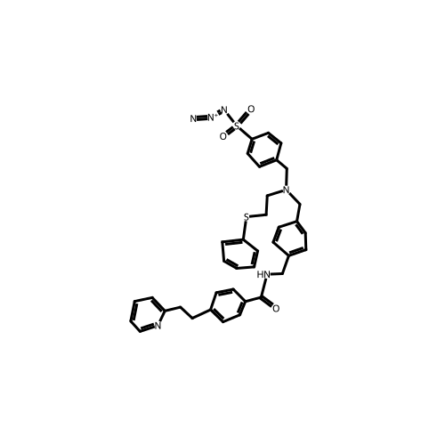 [N-]=[N+]=NS(=O)(=O)c1ccc(CN(CCSc2ccccc2)Cc2ccc(CNC(=O)c3ccc(CCc4ccccn4)cc3)cc2)cc1